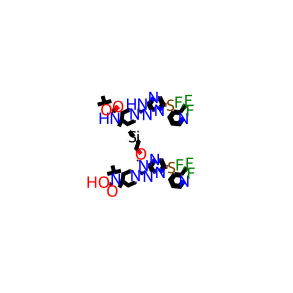 CC(C)(C)N(C(=O)O)C1(C)CCN(c2nc3nc(Sc4cccnc4C(F)(F)F)cnc3n2COCC[Si](C)(C)C)CC1.CC1(NC(=O)OC(C)(C)C)CCN(c2nc3nc(Sc4cccnc4C(F)(F)F)cnc3[nH]2)CC1